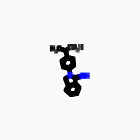 CC(C(=O)O)c1ccc(N2Cc3ccccc3C2=N)cc1